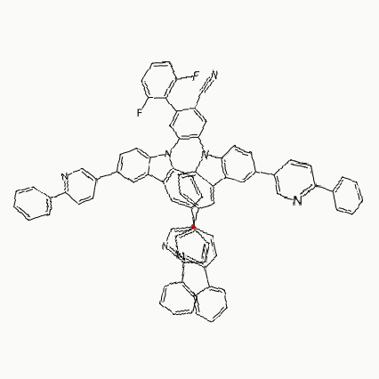 N#Cc1cc(-n2c3ccc(-c4ccc(-c5ccccc5)nc4)cc3c3cc(-c4ccc(-c5ccccc5)nc4)ccc32)c(-n2c3ccc(-c4ccc(-c5ccccc5)nc4)cc3c3cc(-c4ccc(-c5ccccc5)nc4)ccc32)cc1-c1c(F)cccc1F